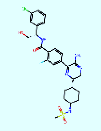 CS(=O)(=O)N[C@H]1CC[C@H](C2CN=C(N)C(c3ccc(C(=O)N[C@H](CO)c4cccc(Cl)c4)c(F)c3)=N2)CC1